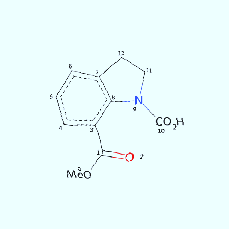 COC(=O)c1cccc2c1N(C(=O)O)CC2